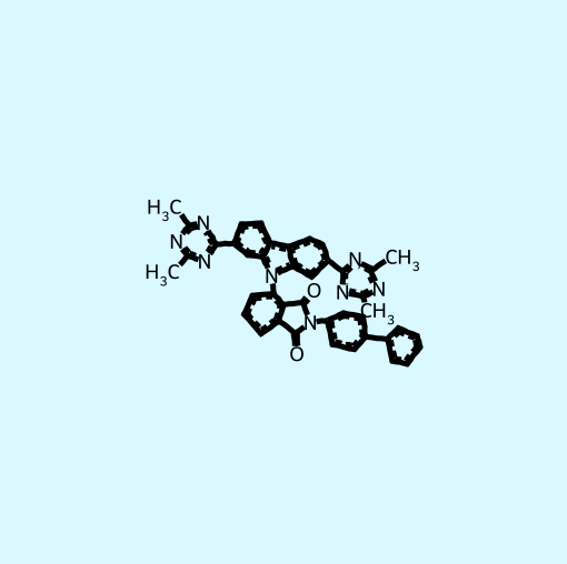 Cc1nc(C)nc(-c2ccc3c4ccc(-c5nc(C)nc(C)n5)cc4n(-c4cccc5c4C(=O)N(c4ccc(-c6ccccc6)cc4)C5=O)c3c2)n1